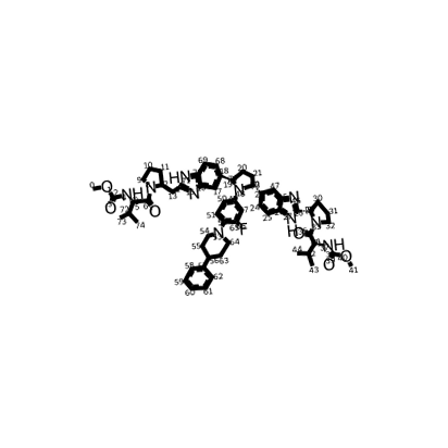 COC(=O)N[C@H](C(=O)N1CCCC1Cc1nc2cc([C@H]3CC[C@H](c4ccc5[nH]c([C@@H]6CCCN6C(=O)[C@@H](NC(=O)OC)C(C)C)nc5c4)N3c3ccc(N4CCC(c5ccccc5)CC4)c(F)c3)ccc2[nH]1)C(C)C